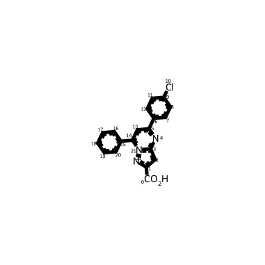 O=C(O)c1cc2nc(-c3ccc(Cl)cc3)cc(-c3ccccc3)n2n1